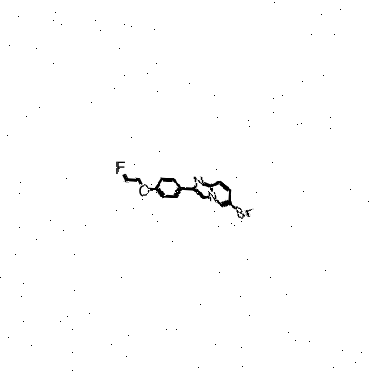 FCCOc1ccc(-c2cn3cc(Br)ccc3n2)cc1